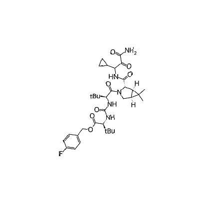 CC(C)(C)[C@H](NC(=O)N[C@H](C(=O)N1C[C@H]2[C@@H]([C@H]1C(=O)NC(C(=O)C(N)=O)C1CC1)C2(C)C)C(C)(C)C)C(=O)OCc1ccc(F)cc1